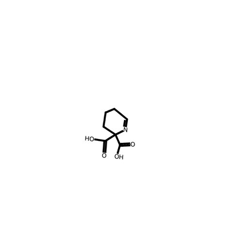 O=C(O)C1(C(=O)O)CCCC=N1